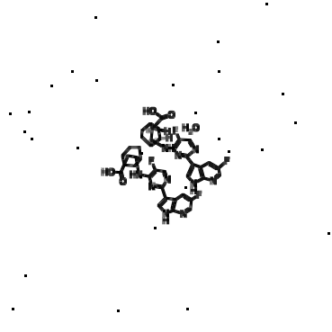 O.O=C(O)C1C2CCC(CC2)C1Nc1nc(-c2c[nH]c3ncc(F)cc23)ncc1F.O=C(O)[C@H]1C2CCC(CC2)[C@@H]1Nc1nc(-c2c[nH]c3ncc(F)cc23)ncc1F